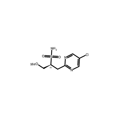 COC[C@H](Cc1ncc(Cl)cn1)S(N)(=O)=O